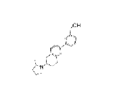 CC1CCCN1C1CCc2cc(-c3cccc(CO)c3)ccc2C1